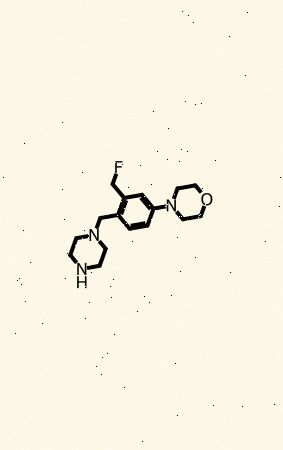 FCc1cc(N2CCOCC2)ccc1CN1CCNCC1